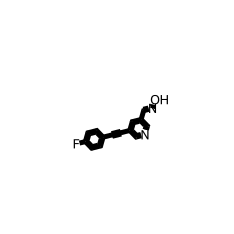 ON=Cc1cncc(C#Cc2ccc(F)cc2)c1